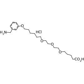 Cl.NCc1cccc(OCCCCCCOCCOCCOCCCCC(=O)O)c1